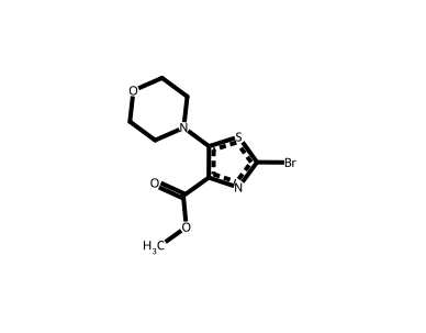 COC(=O)c1nc(Br)sc1N1CCOCC1